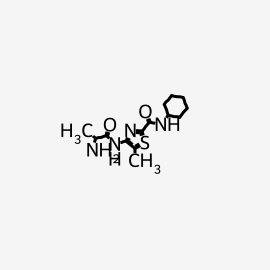 Cc1sc(C(=O)NC2CCCCC2)nc1NC(=O)C(C)N